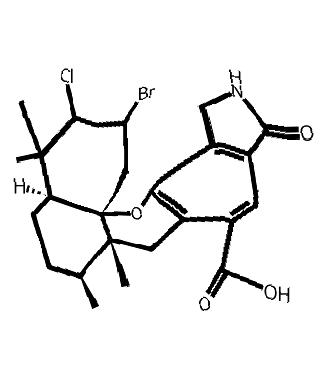 C[C@H]1CC[C@H]2C(C)(C)C(Cl)C(Br)C[C@]23Oc2c(c(C(=O)O)cc4c2CNC4=O)C[C@]13C